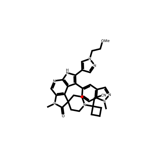 COCCn1cc(-c2[nH]c3ncc4c(c3c2-c2ccc3c(cnn3C)c2)C2(CCN(C3(CC#N)CCC3)CC2)C(=O)N4C)cn1